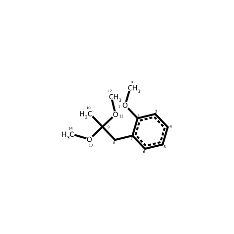 COc1ccccc1CC(C)(OC)OC